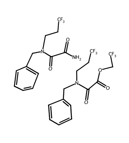 NC(=O)C(=O)N(CCC(F)(F)F)Cc1ccccc1.O=C(OCC(F)(F)F)C(=O)N(CCC(F)(F)F)Cc1ccccc1